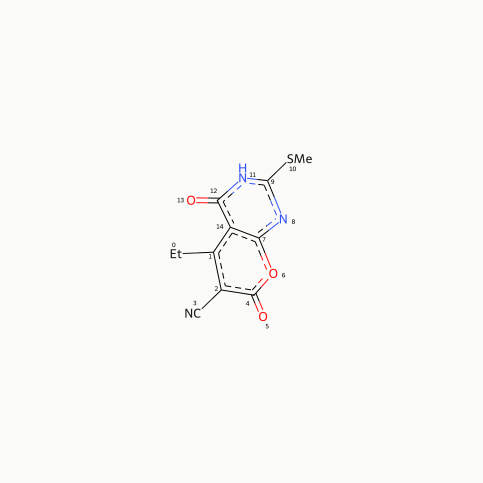 CCc1c(C#N)c(=O)oc2nc(SC)[nH]c(=O)c12